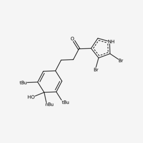 CCCCC1(O)C(C(C)(C)C)=CC(CCC(=O)c2c[nH]c(Br)c2Br)C=C1C(C)(C)C